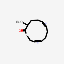 CC(C)COC1CC/C=C\CC/C=C\CCC1=O